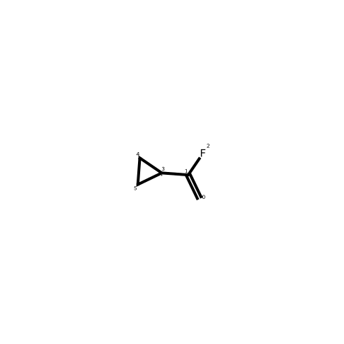 C=C(F)[C]1CC1